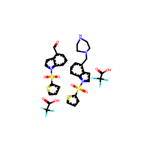 O=C(O)C(F)(F)F.O=C(O)C(F)(F)F.O=Cc1cccc2c1ccn2S(=O)(=O)c1cccs1.O=S(=O)(c1cccs1)n1ccc2c(CN3CCNCC3)cccc21